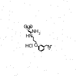 CN(C)Cc1cccc(OCCCN/C(N)=C/[N+](=O)[O-])c1.Cl